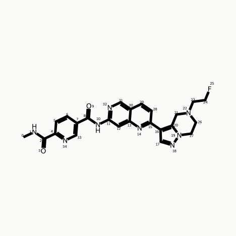 CNC(=O)c1ccc(C(=O)Nc2cc3nc(-c4cnn5c4CN(CCF)CC5)ccc3cn2)cn1